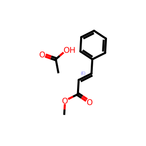 CC(=O)O.COC(=O)/C=C/c1ccccc1